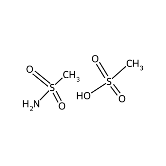 CS(=O)(=O)O.CS(N)(=O)=O